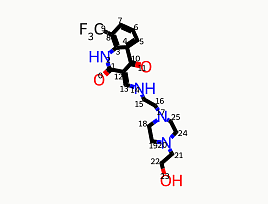 O=C1Nc2c(cccc2C(F)(F)F)C(=O)/C1=C\NCCN1CCN(CCO)CC1